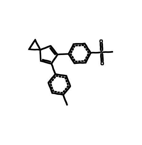 Cc1ccc(C2=CC3(C=C2c2ccc(S(C)(=O)=O)cc2)CC3)cc1